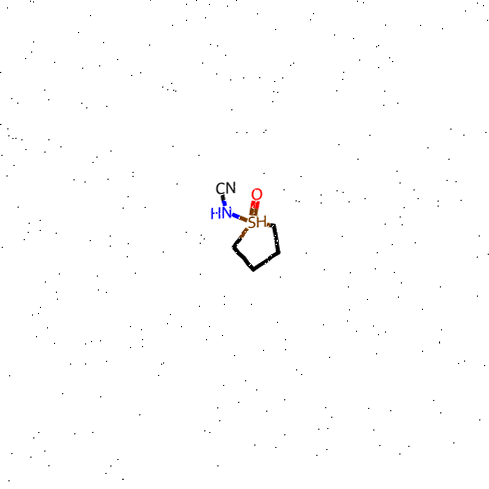 N#CN[SH]1(=O)CCCC1